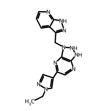 CCn1cc(-c2cnc3c(n2)N(Cc2n[nH]c4ncccc24)NN3)cn1